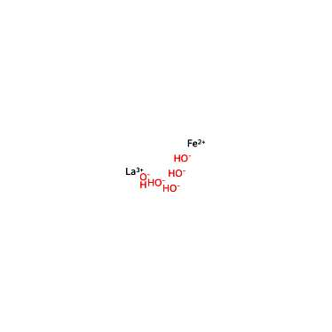 [Fe+2].[La+3].[OH-].[OH-].[OH-].[OH-].[OH-]